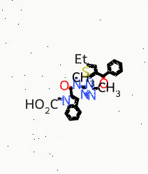 CCc1cc(C(=O)c2ccccc2)c(-n2c(C)nnc2N(C)C(=O)c2cc3ccccc3n2CC(=O)O)s1